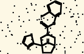 O=C(Oc1ccccc1F)N1CC2CCC(c3nccs3)(C1)N2